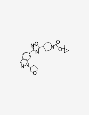 CC1(OC(=O)N2CCC(c3nc(-c4ccc5cnn(C6CCOC6)c5c4)no3)CC2)CC1